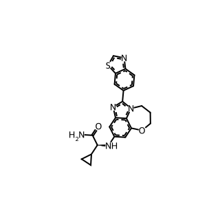 NC(=O)[C@@H](Nc1cc2c3c(c1)nc(-c1ccc4ncsc4c1)n3CCCO2)C1CC1